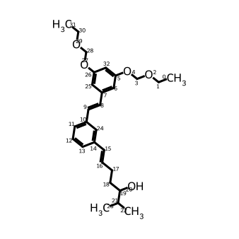 CCOCOc1cc(/C=C/c2cccc(/C=C/CCC(O)C(C)C)c2)cc(OCOCC)c1